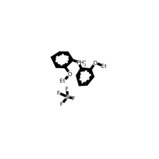 CCOc1ccccc1[PH2+]c1ccccc1OCC.F[B-](F)(F)F